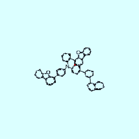 c1cc(-c2ccc(N(c3ccc(-c4cccc5c4oc4ccccc45)cc3)c3ccccc3-c3cccc4c3oc3ccccc34)cc2)cc(-c2cccc3ccccc23)c1